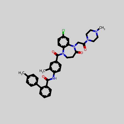 Cc1ccc(-c2ccccc2C(=O)Nc2ccc(C(=O)N3CCC(=O)N(CC(=O)N4CCN(C)CC4)c4cc(Cl)ccc43)cc2C)cc1